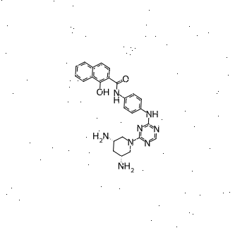 N[C@@H]1C[C@H](N)CN(c2ncnc(Nc3ccc(NC(=O)c4ccc5ccccc5c4O)cc3)n2)C1